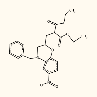 CCOC(=O)C(CC1CN(Cc2ccccc2)c2cc([N+](=O)[O-])ccc2O1)C(=O)OCC